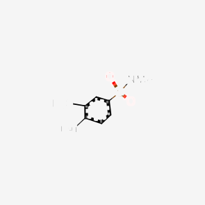 CNS(=O)(=O)c1ccc(C(C)(C)C)c(C)c1